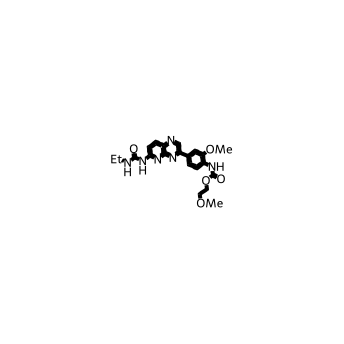 CCNC(=O)Nc1ccc2ncc(-c3ccc(NC(=O)OCCOC)c(OC)c3)nc2n1